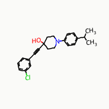 CC(C)c1ccc(N2CCC(O)(C#Cc3cccc(Cl)c3)CC2)cc1